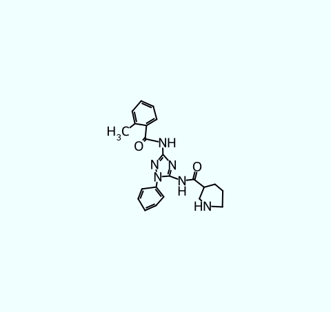 Cc1ccccc1C(=O)Nc1nc(NC(=O)C2CCCNC2)n(-c2ccccc2)n1